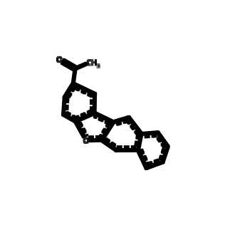 CC(=O)c1ccc2oc3cc4ccccc4cc3c2c1